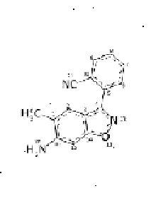 Cc1cc2c(-c3ccccc3C#N)noc2cc1N